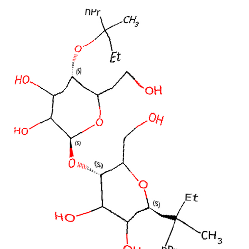 CCCC(C)(CC)O[C@@H]1C(CO)O[C@@H](O[C@@H]2C(CO)O[C@@H](C(C)(CC)CCC)C(O)C2O)C(O)C1O